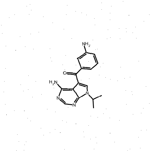 CC(C)n1cc(C(=O)c2cccc(N)c2)c2c(N)ncnc21